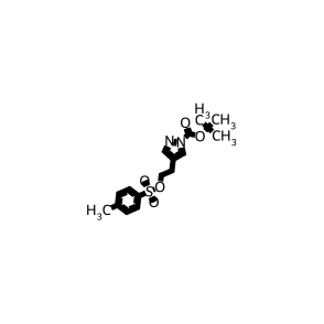 Cc1ccc(S(=O)(=O)OCCc2cnn(C(=O)OC(C)(C)C)c2)cc1